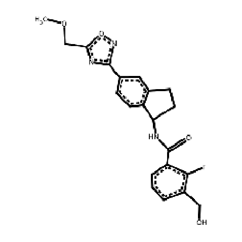 COCc1nc(-c2ccc3c(c2)CCC3NC(=O)c2cccc(CO)c2F)no1